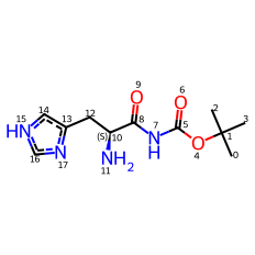 CC(C)(C)OC(=O)NC(=O)[C@@H](N)Cc1c[nH]cn1